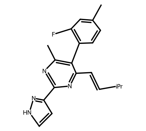 Cc1ccc(-c2c(C)nc(-c3cc[nH]n3)nc2/C=C/C(C)C)c(F)c1